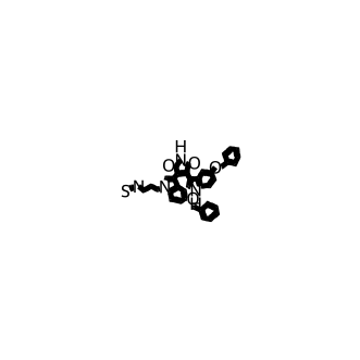 O=C1NC(=O)C(c2cn(CCCN=C=S)c3ccc(OCc4ccccc4)cc23)=C1c1c[nH]c2ccc(OCc3ccccc3)cc12